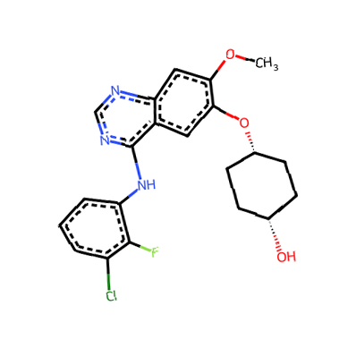 COc1cc2ncnc(Nc3cccc(Cl)c3F)c2cc1O[C@H]1CC[C@@H](O)CC1